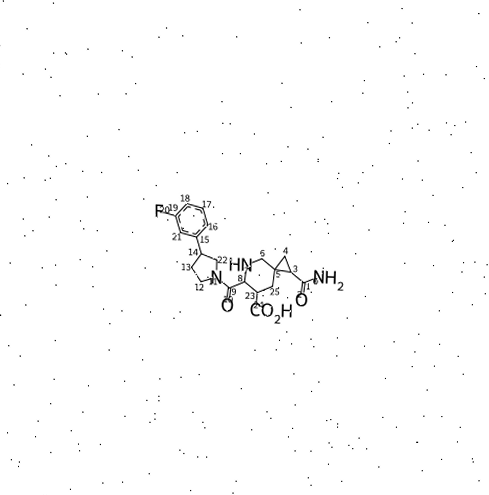 NC(=O)C1CC12CNC(C(=O)N1CCC(c3cccc(F)c3)C1)C(C(=O)O)C2